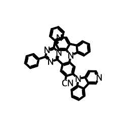 N#Cc1cc(-c2nc(-c3ccccc3)nc(-c3ccccc3)n2)c(-n2c3ccccc3c3cnccc32)cc1-n1c2ccccc2c2cnccc21